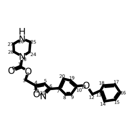 O=C(OCc1cc(-c2ccc(OCc3ccccc3)cc2)no1)N1CCNCC1